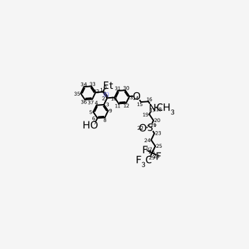 CC/C(=C(/c1ccc(O)cc1)c1ccc(OCCN(C)CC[S+]([O-])CCCC(F)(F)C(F)(F)F)cc1)c1ccccc1